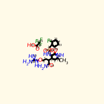 Cc1cc(C(CCONC(=N)N)C(N)=O)c(NS(=O)(=O)Cc2ccccc2F)c(=O)[nH]1.O=C(O)C(F)(F)F